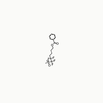 CS(=O)(=O)C(F)(F)C(F)(F)CCCCOC(=O)c1ccccc1